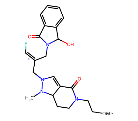 COCCN1CCC2C(=CN(C/C(=C/F)CN3C(=O)c4ccccc4C3O)N2C)C1=O